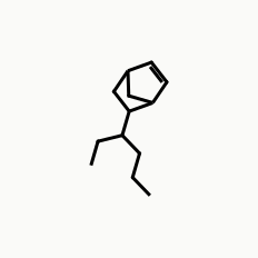 CCCC(CC)C1CC2C=CC1C2